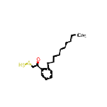 CCCCCCCCCCCCCCCCCCCc1ccccc1C(=O)CSS